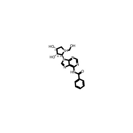 O=C(Nc1ncnc2c1ncn2[C@H]1[C@H](O)[C@H](O)C[SH]1CO)c1ccccc1